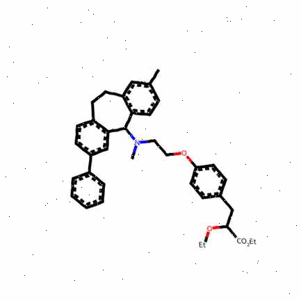 CCOC(=O)C(Cc1ccc(OCCN(C)C2c3ccc(C)cc3CCc3ccc(-c4ccccc4)cc32)cc1)OCC